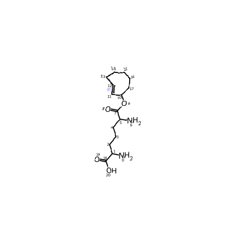 NC(CCCC(N)C(=O)OC1/C=C/CCCCC1)C(=O)O